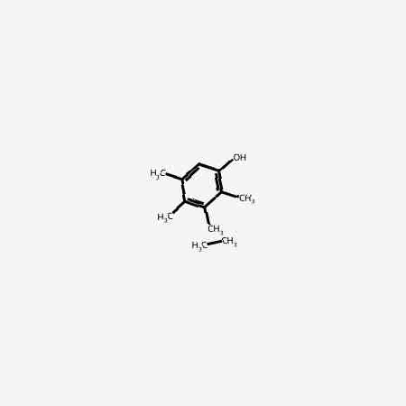 CC.Cc1cc(O)c(C)c(C)c1C